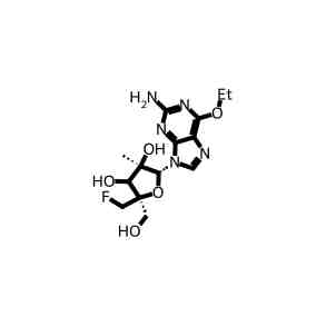 CCOc1nc(N)nc2c1ncn2[C@@H]1O[C@@](CO)(CF)C(O)[C@@]1(C)O